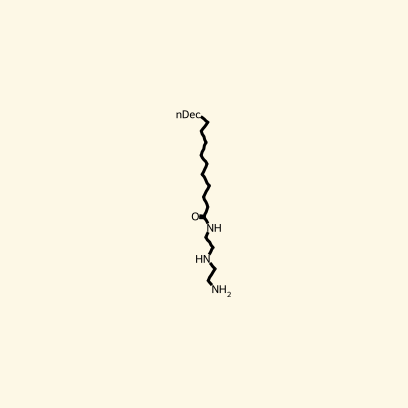 CCCCCCCCCCCCCCCCCCCC(=O)NCCNCCN